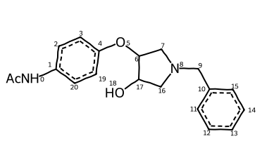 CC(=O)Nc1ccc(OC2CN(Cc3ccccc3)CC2O)cc1